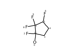 [O]C1(F)CCC(F)C1(F)F